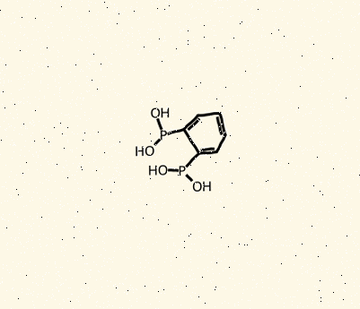 OP(O)c1ccccc1P(O)O